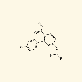 C=CC(=O)c1ccc(OC(F)F)cc1-c1ccc(F)cc1